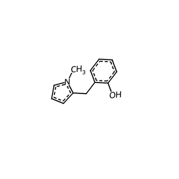 Cn1cccc1Cc1ccccc1O